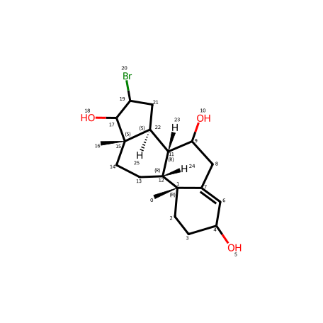 C[C@]12CCC(O)C=C1CC(O)[C@@H]1[C@H]2CC[C@]2(C)C(O)C(Br)C[C@@H]12